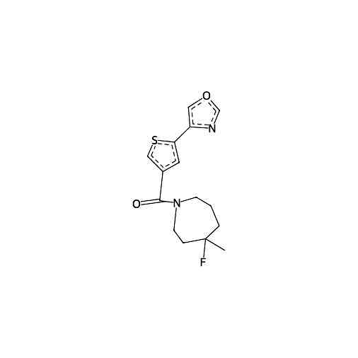 CC1(F)CCCN(C(=O)c2csc(-c3cocn3)c2)CC1